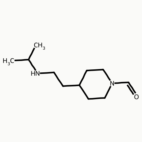 CC(C)NCCC1CCN(C=O)CC1